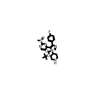 C[S+]([O-])c1nccc(C2=C(c3ccc(F)cc3)N=C[N+]2(C(=O)OC(C)(C)C)C2CCNCC2)n1